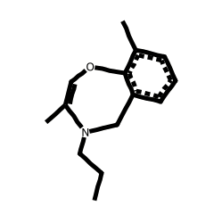 CCCN1Cc2cccc(C)c2OC=C1C